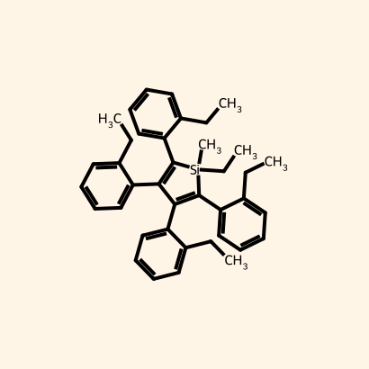 CCc1ccccc1C1=C(c2ccccc2CC)[Si](C)(CC)C(c2ccccc2CC)=C1c1ccccc1CC